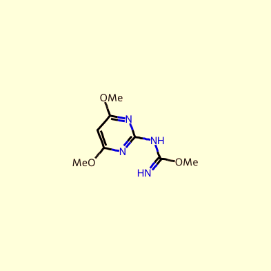 COC(=N)Nc1nc(OC)cc(OC)n1